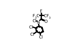 O=C(N(Cl)c1ccc(Cl)c(Cl)c1Cl)C(F)(C(F)(F)F)C(F)(F)F